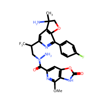 COc1nc(C(=O)N(N)CC(c2cc3c(c(-c4ccc(F)cc4)n2)OCC3(C)N)C(F)(F)F)cc2oc(=O)[nH]c12